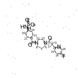 CC(C)(C(=O)N1CCCN(C(=O)c2ccc(N[SH](=O)=O)cc2)CC1)c1ccc(F)cn1